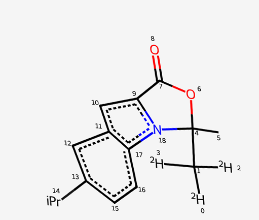 [2H]C([2H])([2H])C1(C)OC(=O)c2cc3cc(C(C)C)ccc3n21